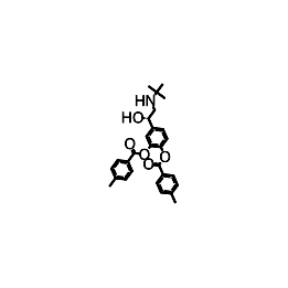 Cc1ccc(C(=O)Oc2ccc([C@H](O)CNC(C)(C)C)cc2OC(=O)c2ccc(C)cc2)cc1